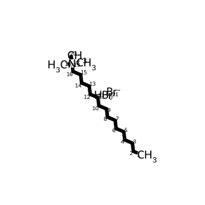 Br.CCCCCCCCCCCCCCCC[N+](C)(C)C.[Br-]